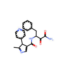 CC1=NC=C(C(=O)NC(Cc2ccccc2)C(=O)C(N)=O)C1c1ccncc1